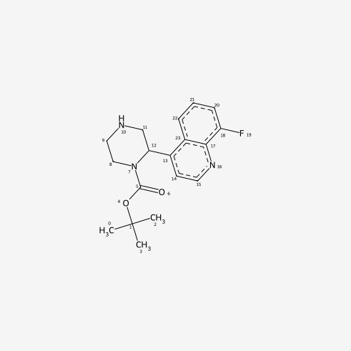 CC(C)(C)OC(=O)N1CCNCC1c1ccnc2c(F)cccc12